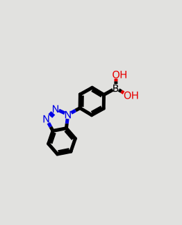 OB(O)c1ccc(-n2nnc3ccccc32)cc1